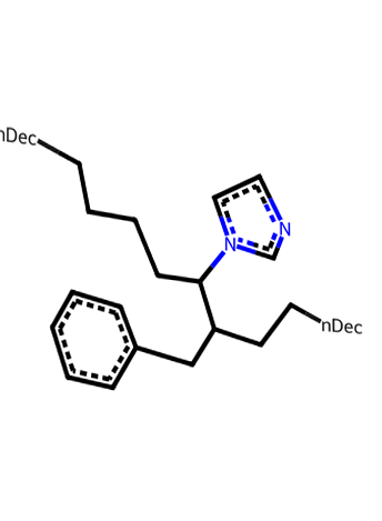 CCCCCCCCCCCCCCC(C(CCCCCCCCCCCC)Cc1ccccc1)n1ccnc1